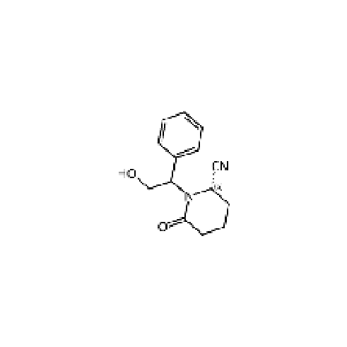 N#C[C@@H]1CCCC(=O)N1C(CO)c1ccccc1